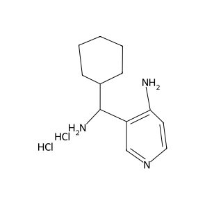 Cl.Cl.Nc1ccncc1C(N)C1CCCCC1